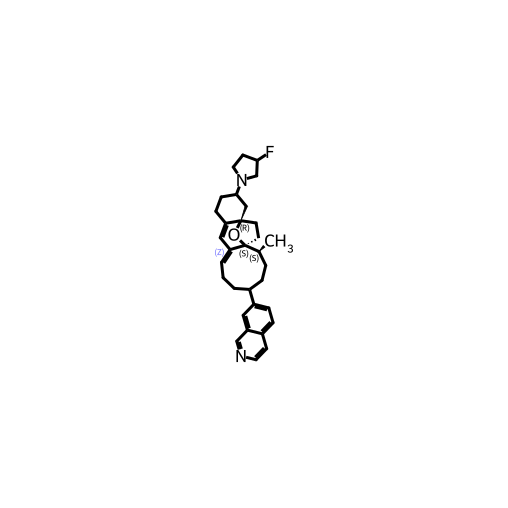 C[C@H]1CCC(c2ccc3ccncc3c2)CC/C=C2/C=C3CCC(N4CCC(F)C4)C[C@]34CC[C@@]21O4